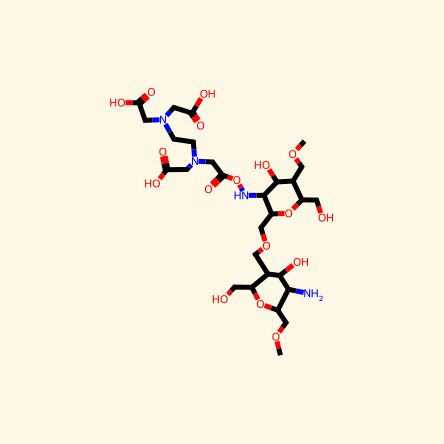 COCC1OC(CO)C(COCC2OC(CO)C(COC)C(O)C2NOC(=O)CN(CCN(CC(=O)O)CC(=O)O)CC(=O)O)C(O)C1N